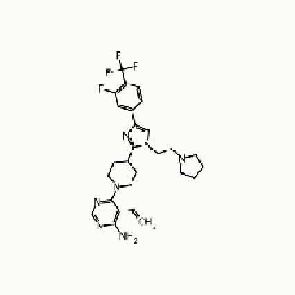 C=Cc1c(N)ncnc1N1CCC(c2nc(-c3ccc(C(F)(F)F)c(F)c3)cn2CCN2CCCC2)CC1